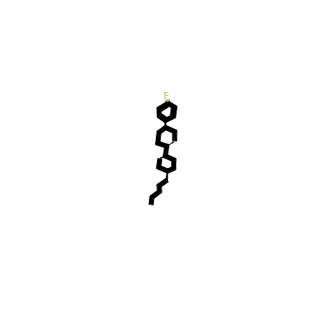 CCCCC[C@H]1CC[C@H]([C@H]2CC[C@H](c3ccc(F)cc3)CC2)CC1